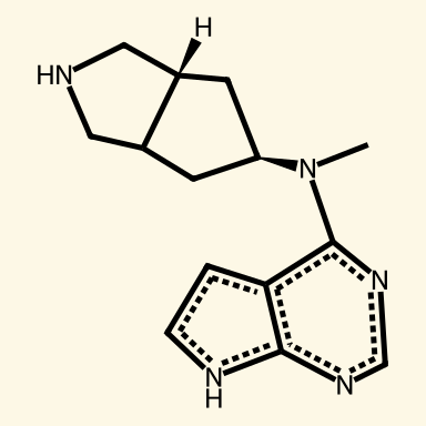 CN(c1ncnc2[nH]ccc12)[C@H]1CC2CNC[C@@H]2C1